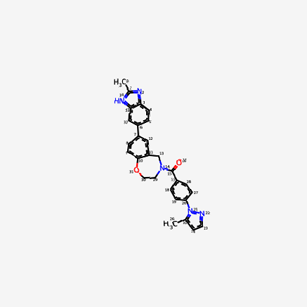 Cc1nc2ccc(-c3ccc4c(c3)CN(C(=O)c3ccc(-n5nccc5C)cc3)CCO4)cc2[nH]1